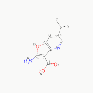 CC(C)c1cnc2c(C(=O)O)c(N)oc2c1